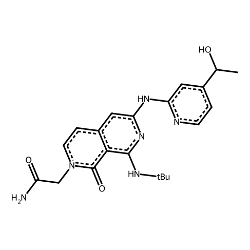 CC(O)c1ccnc(Nc2cc3ccn(CC(N)=O)c(=O)c3c(NC(C)(C)C)n2)c1